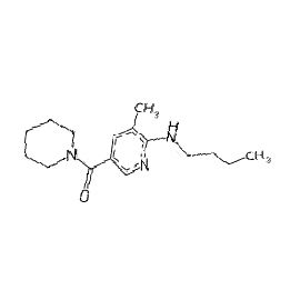 CCCCNc1ncc(C(=O)N2CCCCC2)cc1C